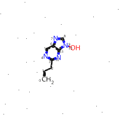 C=CCc1ncc2ncn(O)c2n1